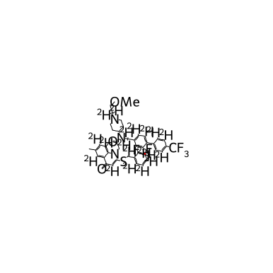 [2H]c1c([2H])c(F)c(F)c(CSc2c([2H])c(=O)c3c([2H])c(C)c([2H])c([2H])c3n2CC(=O)N(C2CCN(C([2H])([2H])COC)CC2)C([2H])([2H])c2c([2H])c([2H])c(-c3c([2H])c([2H])c(C(F)(F)F)c([2H])c3[2H])c([2H])c2[2H])c1[2H]